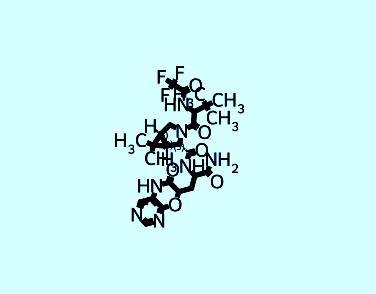 CC(C)(C)C(NC(=O)C(F)(F)F)C(=O)N1C[C@H]2[C@@H]([C@H]1C(=O)NC(CC1Oc3ncncc3NC1=O)C(N)=O)C2(C)C